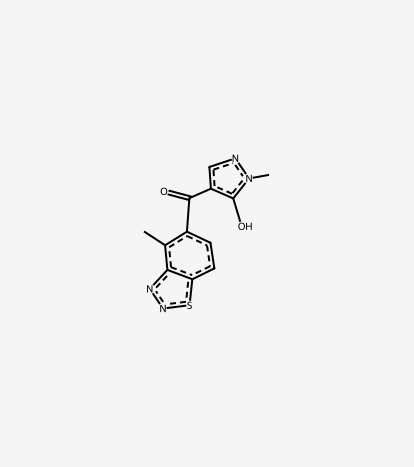 Cc1c(C(=O)c2cnn(C)c2O)ccc2snnc12